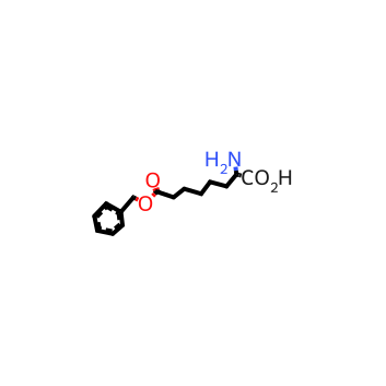 NC(CCCCCC(=O)OCc1ccccc1)C(=O)O